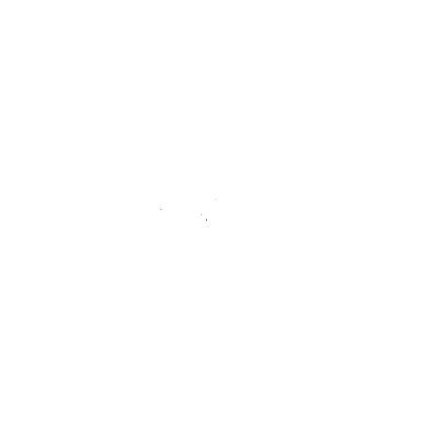 CC1c2ccccc2C(Br)N1C(c1ccccc1)(c1ccccc1)c1ccccc1